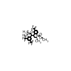 CCOC(=O)N1c2ccc(C(F)(F)F)cc2C(C(C(=O)N(C)C)c2cc(C(F)(F)F)cc(C(F)(F)F)c2)C[C@@H]1CC